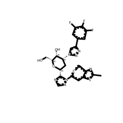 Cc1nc2ccc(-n3ncnc3[C@H]3C[C@@H](n4cc(-c5cc(F)c(F)c(F)c5)nn4)[C@@H](O)[C@@H](CO)O3)cc2s1